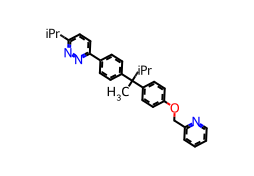 CC(C)c1ccc(-c2ccc(C(C)(c3ccc(OCc4ccccn4)cc3)C(C)C)cc2)nn1